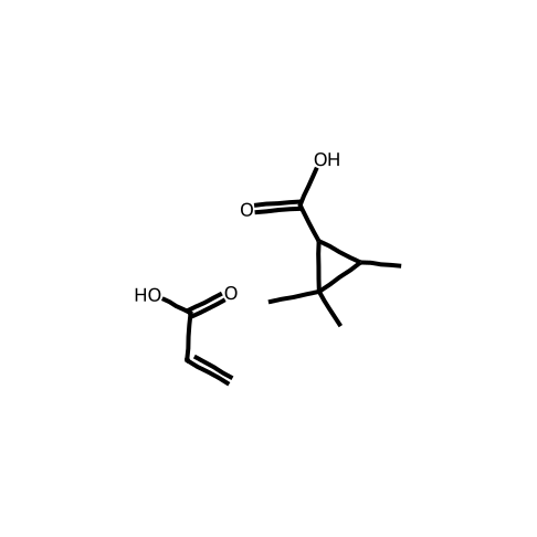 C=CC(=O)O.CC1C(C(=O)O)C1(C)C